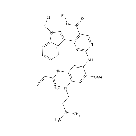 C=CC(=O)Nc1cc(Nc2ncc(C(=O)OC(C)C)c(-c3cn(OCC)c4ccccc34)n2)c(OC)cc1N(C)CCN(C)C